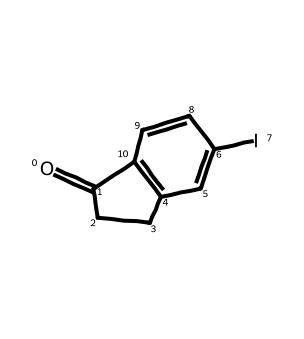 O=C1CCc2cc(I)ccc21